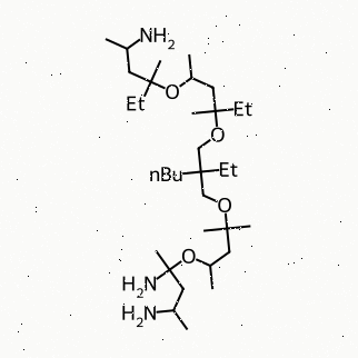 CCCCC(CC)(COC(C)(C)CC(C)OC(C)(N)CC(C)N)COC(C)(CC)CC(C)OC(C)(CC)CC(C)N